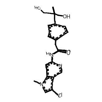 Cn1cc(Cl)c2cnc(NC(=O)c3ccc(C(C)(O)CO)cc3)cc21